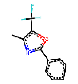 Cc1nc(-c2ccccc2)oc1C(F)(F)F